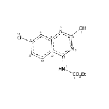 CCOC(=O)Nc1nc(O)nc2cc(Cl)ccc12